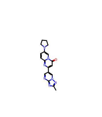 Cc1nc2ncc(-c3cc(=O)n4cc(N5CCCC5)ccc4n3)cn2n1